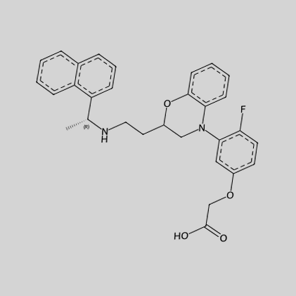 C[C@@H](NCCC1CN(c2cc(OCC(=O)O)ccc2F)c2ccccc2O1)c1cccc2ccccc12